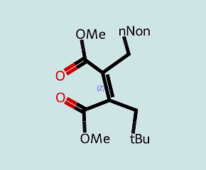 CCCCCCCCCC/C(C(=O)OC)=C(\CC(C)(C)C)C(=O)OC